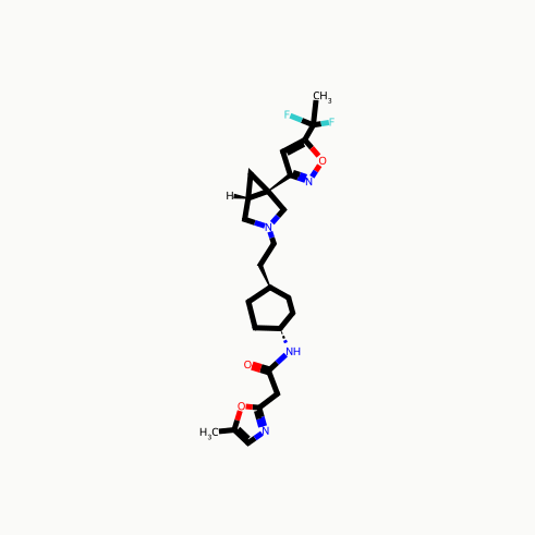 Cc1cnc(CC(=O)N[C@H]2CC[C@H](CCN3C[C@@H]4C[C@]4(c4cc(C(C)(F)F)on4)C3)CC2)o1